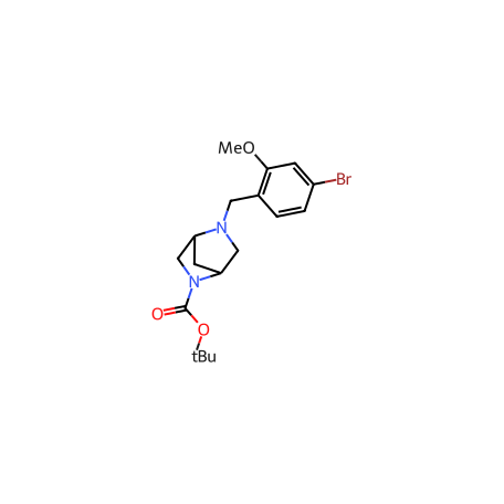 COc1cc(Br)ccc1CN1CC2CC1CN2C(=O)OC(C)(C)C